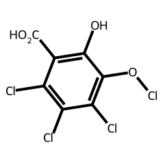 O=C(O)c1c(O)c(OCl)c(Cl)c(Cl)c1Cl